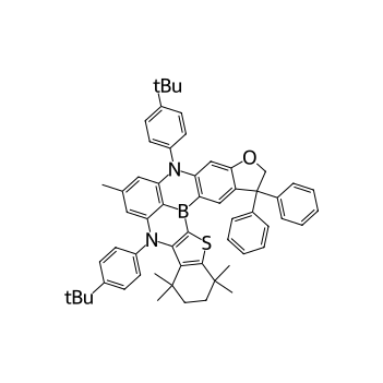 Cc1cc2c3c(c1)N(c1ccc(C(C)(C)C)cc1)c1c(sc4c1C(C)(C)CCC4(C)C)B3c1cc3c(cc1N2c1ccc(C(C)(C)C)cc1)OCC3(c1ccccc1)c1ccccc1